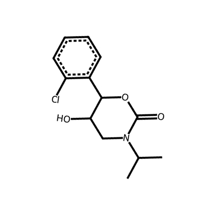 CC(C)N1CC(O)C(c2ccccc2Cl)OC1=O